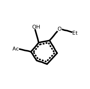 CCOc1cccc(C(C)=O)c1O